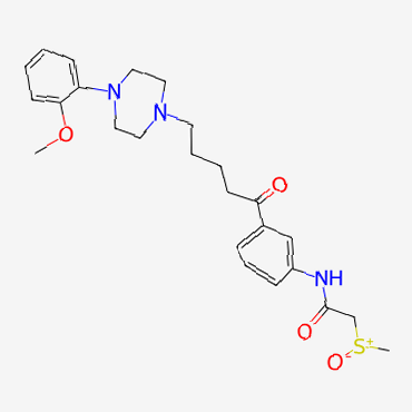 COc1ccccc1N1CCN(CCCCC(=O)c2cccc(NC(=O)C[S+](C)[O-])c2)CC1